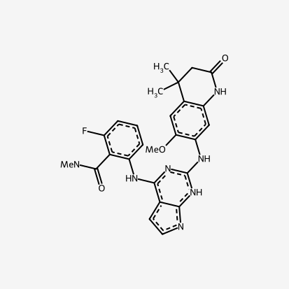 CNC(=O)c1c(F)cccc1Nc1nc(Nc2cc3c(cc2OC)C(C)(C)CC(=O)N3)[nH]c2nccc1-2